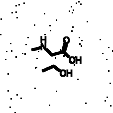 CCO.CNCC(=O)O